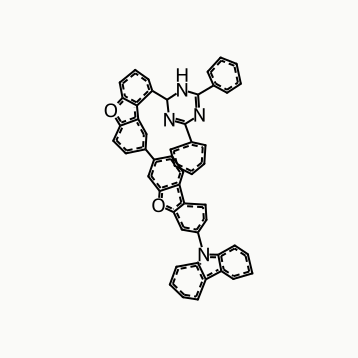 c1ccc(C2=NC(c3cccc4oc5ccc(-c6ccc7c(c6)oc6cc(-n8c9ccccc9c9ccccc98)ccc67)cc5c34)NC(c3ccccc3)=N2)cc1